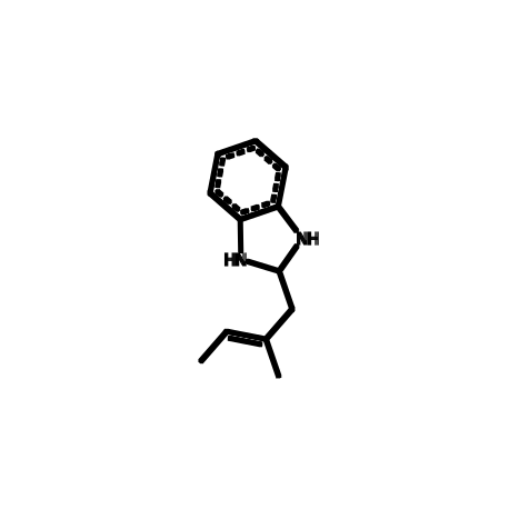 CC=C(C)CC1Nc2ccccc2N1